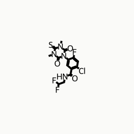 Cn1c(=S)n(C)c(=O)n(-c2cc(C(=O)NCC(F)F)c(Cl)cc2F)c1=O